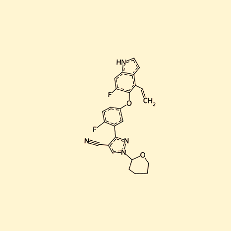 C=Cc1c(Oc2ccc(F)c(-c3nn(C4CCCCO4)cc3C#N)c2)c(F)cc2[nH]ccc12